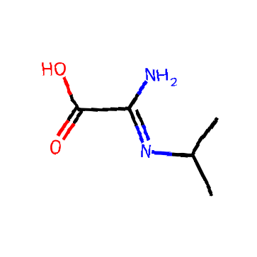 CC(C)N=C(N)C(=O)O